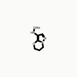 CONc1cnn2c1OCCC2